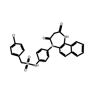 O=C1CC(=O)N(c2ccc(NS(=O)(=O)Cc3ccc(Cl)cc3)cc2)c2ccc3ccccc3c2N1